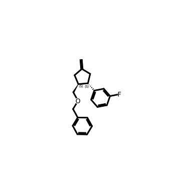 C=C1C[C@H](COCc2ccccc2)[C@@H](c2cccc(F)c2)C1